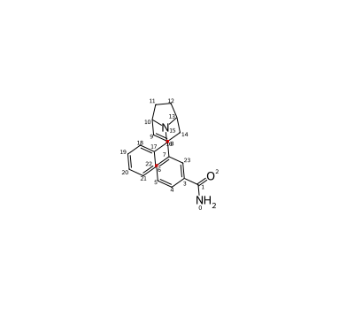 NC(=O)c1cccc(C2=CC3CCC(C2)N3Cc2ccccc2)c1